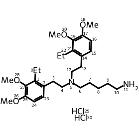 CCc1c(CCN(CCCCCN)CCc2ccc(OC)c(OC)c2CC)ccc(OC)c1OC.Cl.Cl